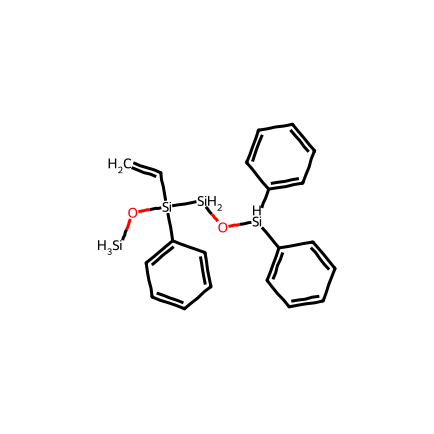 C=C[Si](O[SiH3])([SiH2]O[SiH](c1ccccc1)c1ccccc1)c1ccccc1